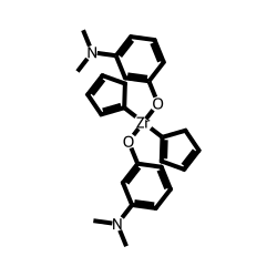 CN(C)c1cccc([O][Zr]([O]c2cccc(N(C)C)c2)([C]2=CC=CC2)[C]2=CC=CC2)c1